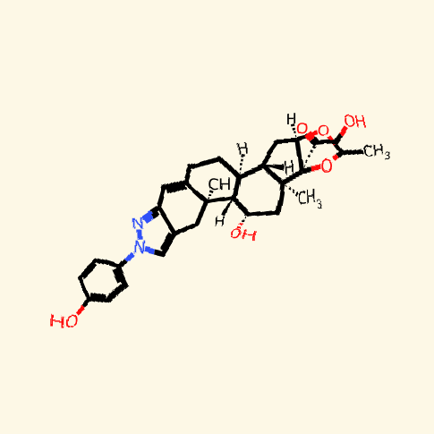 CC1O[C@@H]2C[C@H]3[C@@H]4CCC5=Cc6nn(-c7ccc(O)cc7)cc6C[C@]5(C)[C@H]4[C@@H](O)C[C@]3(C)[C@]2(C(=O)CO)O1